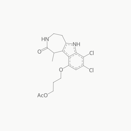 CC(=O)OCCCOc1cc(Cl)c(Cl)c2[nH]c3c(c12)C(C)C(=O)NCC3